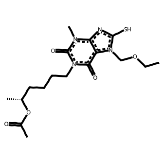 CCOCn1c(S)nc2c1c(=O)n(CCCC[C@@H](C)OC(C)=O)c(=O)n2C